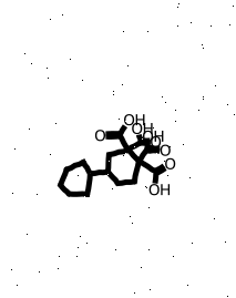 O=C(O)C1(C(=O)O)CCC(C2CCCCC2)CC1(C(=O)O)C(=O)O